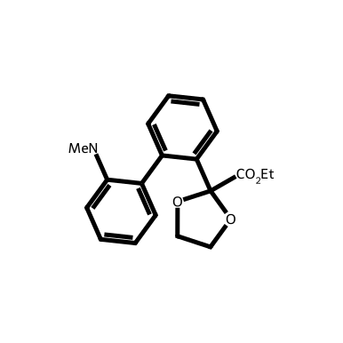 CCOC(=O)C1(c2ccccc2-c2ccccc2NC)OCCO1